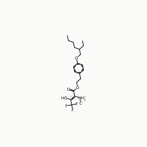 [CH2-][NH2+]/C(C(=O)OCCc1ccc(OCC(CC)CCCC)cc1)=C(/O)C(F)(F)F